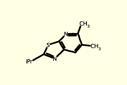 Cc1cc2nc(C(C)C)sc2nc1C